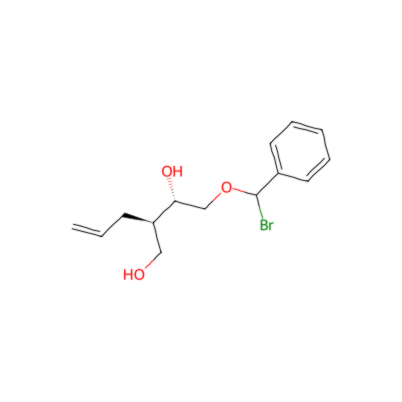 C=CC[C@H](CO)[C@H](O)COC(Br)c1ccccc1